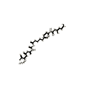 C=C(BC(=C)SC(=C)CCCCc1ccc(NC(=O)C/C(C)=C/C=C\C)nn1)CC(=C)/C=C(/OCCC)C(=C)C